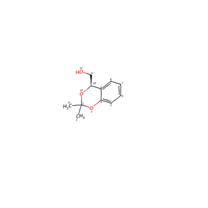 CC1(C)Oc2ccccc2[C@H](CO)O1